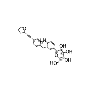 Nc1ccc([C@@H]2O[C@H](CO)[C@@H](O)[C@H](O)[C@H]2O)cc1Cc1ccc(C#CC2CCCO2)cc1